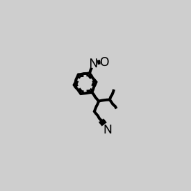 CC(C)C(CC#N)c1cccc(N=O)c1